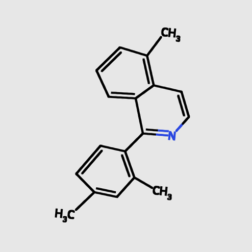 Cc1ccc(-c2nccc3c(C)cccc23)c(C)c1